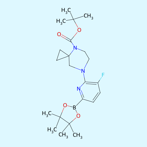 CC(C)(C)OC(=O)N1CCN(c2nc(B3OC(C)(C)C(C)(C)O3)ccc2F)CC12CC2